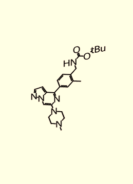 Cc1cc(-c2nc(N3CCN(C)CC3)cn3nccc23)ccc1CNC(=O)OC(C)(C)C